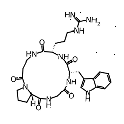 N=C(N)NCCC[C@@H]1NC(=O)[C@H](Cc2c[nH]c3ccccc23)NC(=O)CNC(=O)[C@@H]2CCCN2C(=O)CCNC1=O